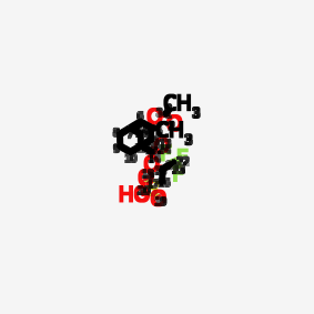 CC(=O)OC1(C)C=C2CCCC(C(=O)OC(CS(=O)(=O)O)C(F)(F)F)(C2)C1